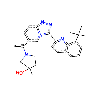 C[C@@H](c1ccc2nnc(-c3ccc4cccc(C(C)(C)C)c4n3)n2c1)N1CCC(C)(O)C1